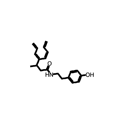 C=C/C=C\C(=C/C=C)C(C)CC(=O)NCCc1ccc(O)cc1